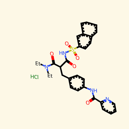 CCN(CC)C(=O)C(Cc1ccc(NC(=O)c2ccccn2)cc1)C(=O)NS(=O)(=O)c1ccc2ccccc2c1.Cl